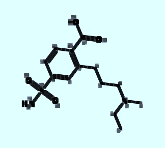 CCN(C)CCCc1cc(S(N)(=O)=O)ccc1C(=O)O